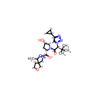 CC(C)C1(CNC(=O)[C@@H]2C[C@@H](O)CN2C(=O)[C@@H](n2cc(C3CC3)nn2)C(C)(C)C)CCOC1